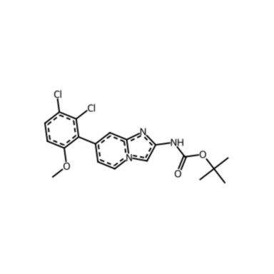 COc1ccc(Cl)c(Cl)c1-c1ccn2cc(NC(=O)OC(C)(C)C)nc2c1